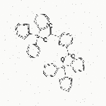 O=C(OS(c1ccccc1)(c1ccccc1)c1ccccc1)c1cccc(C(=O)OS(c2ccccc2)(c2ccccc2)c2ccccc2)c1